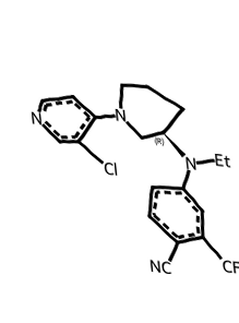 CCN(c1ccc(C#N)c(C(F)(F)F)c1)[C@@H]1CCCN(c2ccncc2Cl)C1